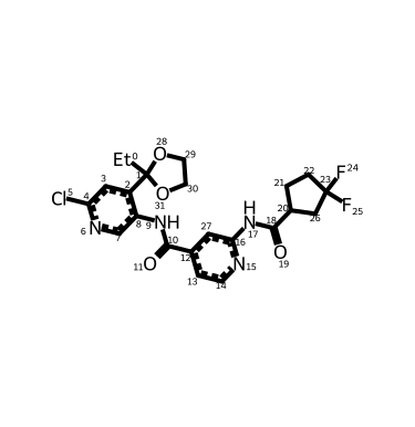 CCC1(c2cc(Cl)ncc2NC(=O)c2ccnc(NC(=O)C3CCC(F)(F)C3)c2)OCCO1